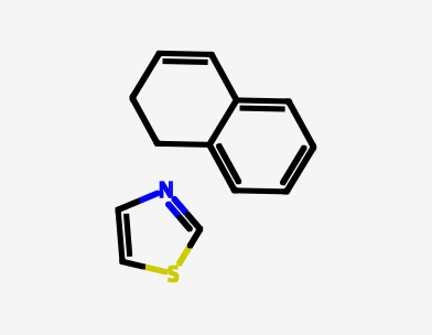 C1=Cc2ccccc2CC1.c1cscn1